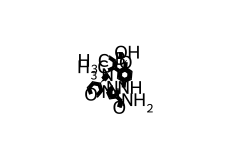 CCC1=C(CC)c2cc(Nc3nn([C@H]4COCC[C@@H]4C#N)cc3C(N)=O)ccc2OB1O